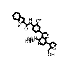 COc1cc(-c2csc3c(-c4ccsc4CO)cnc(N)c23)ccc1NC(=O)c1cc2ccccc2n1C.[BH4-].[Na+]